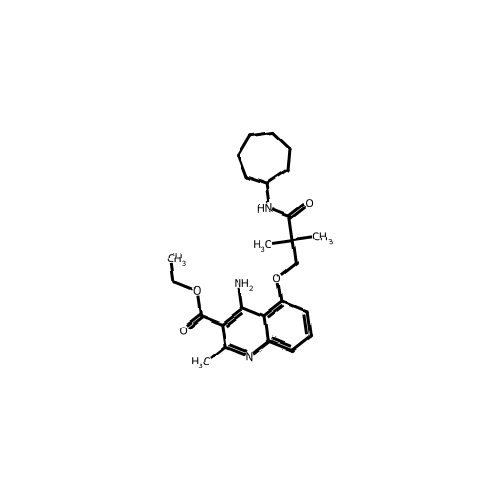 CCOC(=O)c1c(C)nc2cccc(OCC(C)(C)C(=O)NC3CCCCCC3)c2c1N